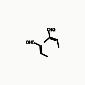 CC=C(C)C=O.CC=CC=O